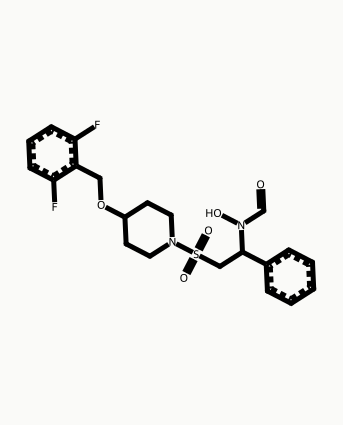 O=CN(O)C(CS(=O)(=O)N1CCC(OCc2c(F)cccc2F)CC1)c1ccccc1